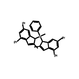 CC1=Cc2c(C(C)C)cc(C(C)C)cc2C1[Si](C)(c1ccccc1)C1C(C)=Cc2c(C(C)C)cc(C(C)C)cc21